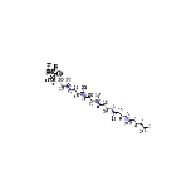 CC(C)=CCC/C(C)=C/CC/C(C)=C/CC/C=C(\C)CC/C=C(\C)CC/C=C(\C)CCCN(C)C(=O)C(F)(F)F